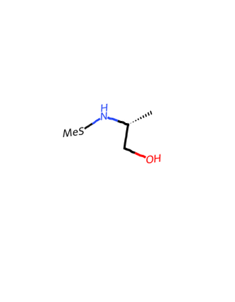 CSN[C@H](C)CO